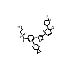 O=c1ccc(-c2cnn(-c3ccc(NS(=O)(=O)CCO)cc3N3CCC4(CC3)CC4)c2)nn1C1CCC(F)(F)C1